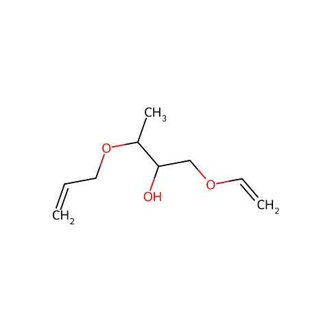 C=CCOC(C)C(O)COC=C